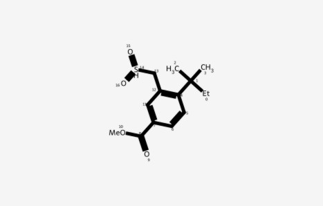 CCC(C)(C)c1ccc(C(=O)OC)cc1C[SH](=O)=O